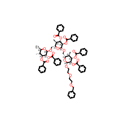 CC[C@H]1O[C@@H](OC[C@H]2O[C@@H](OC[C@H]3O[C@@H](OCCOCCOCc4ccccc4)[C@H](OC(=O)c4ccccc4)[C@@H](OC(=O)c4ccccc4)[C@@H]3C)[C@H](OC(=O)c3ccccc3)[C@@H](OC(=O)c3ccccc3)[C@@H]2C)[C@H](OC(=O)c2ccccc2)[C@@H](OC(=O)c2ccccc2)[C@@H]1C